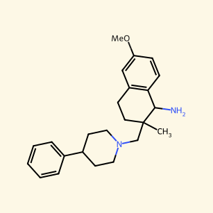 COc1ccc2c(c1)CCC(C)(CN1CCC(c3ccccc3)CC1)C2N